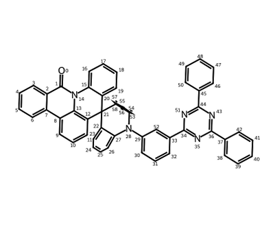 O=c1c2ccccc2c2cccc3c2n1-c1ccccc1C31c2ccccc2N(c2cccc(-c3nc(-c4ccccc4)nc(-c4ccccc4)n3)c2)c2ccccc21